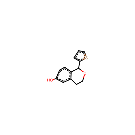 Oc1ccc2c(c1)CCOC2c1cccs1